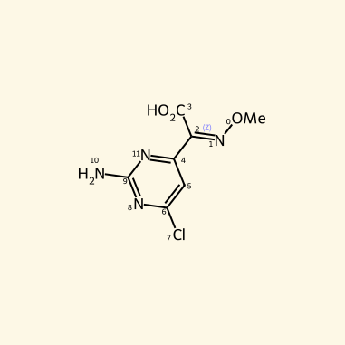 CO/N=C(\C(=O)O)c1cc(Cl)nc(N)n1